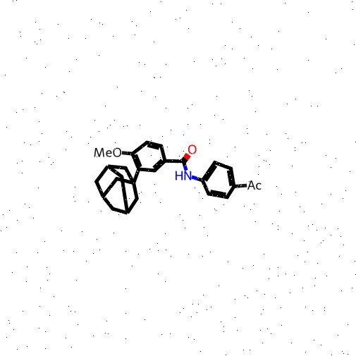 COc1ccc(C(=O)Nc2ccc(C(C)=O)cc2)cc1C12CC3CC(CC(C3)C1)C2